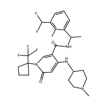 CC(NC(=O)c1cn(C2(C(F)(F)F)CCC2)c(=O)cc1NC1CCN(C)CC1)c1cccc(C(F)F)c1F